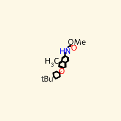 COC(=O)CNCc1ccc2cc(O[C@H]3CC[C@H](C(C)(C)C)CC3)cc(C)c2c1